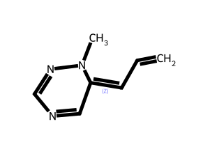 C=C/C=C1/C=NC=NN1C